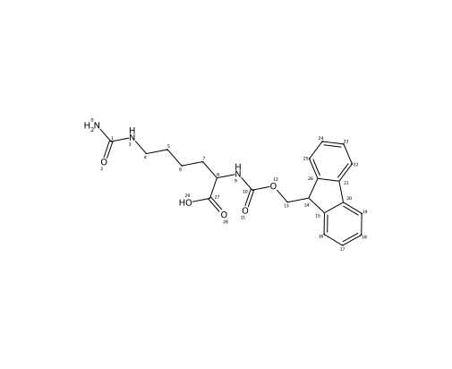 NC(=O)NCCCCC(NC(=O)OCC1c2ccccc2-c2ccccc21)C(=O)O